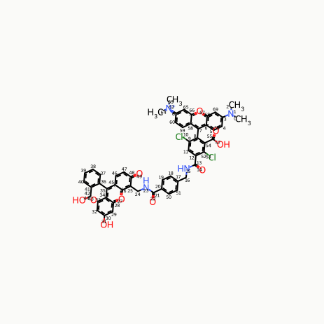 CN(C)c1ccc2c(-c3c(Cl)cc(C(=O)NCc4ccc(C(=O)NCc5c6oc7cc(O)ccc7c(-c7ccccc7C(=O)O)c-6ccc5=O)cc4)c(Cl)c3C(=O)O)c3ccc(=[N+](C)C)cc-3oc2c1